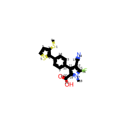 CSc1ccsc1-c1ccc(-c2c(C#N)c(F)n(C)c2C(=O)O)cc1